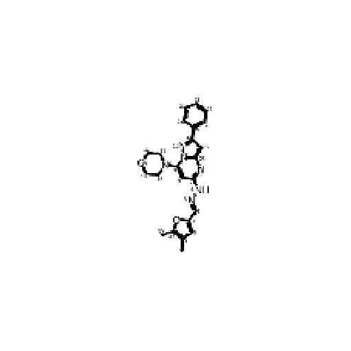 Cc1cc(C=NNc2cc(N3CCOCC3)n3nc(-c4ccccc4)cc3n2)oc1C